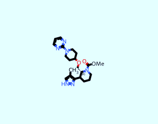 COC(=O)N1CCCC(c2n[nH]cc2C)[C@@H]1COC1CCN(c2ncccn2)CC1